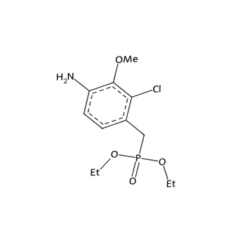 CCOP(=O)(Cc1ccc(N)c(OC)c1Cl)OCC